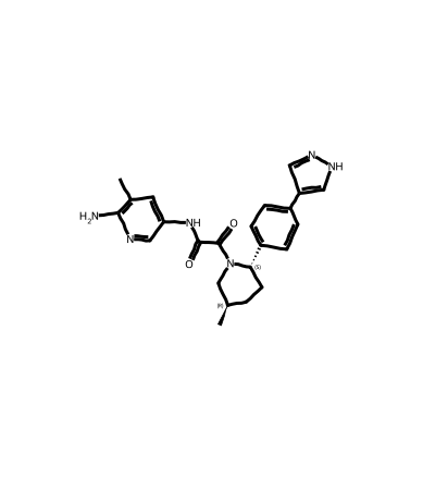 Cc1cc(NC(=O)C(=O)N2C[C@H](C)CC[C@H]2c2ccc(-c3cn[nH]c3)cc2)cnc1N